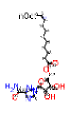 CCCCCCCC/C=C\CCCCCCCC(=O)OC[C@H]1O[C@@H](n2cnc(C(N)=O)n2)[C@H](O)[C@@H]1O